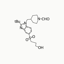 CC(C)(C)c1nc2cc(S(=O)(=O)CCCO)ccc2n1CC1CCN(C=O)CC1